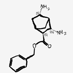 N[C@H]1CC2CC1[C@H](N)[C@H]2C(=O)OCc1ccccc1